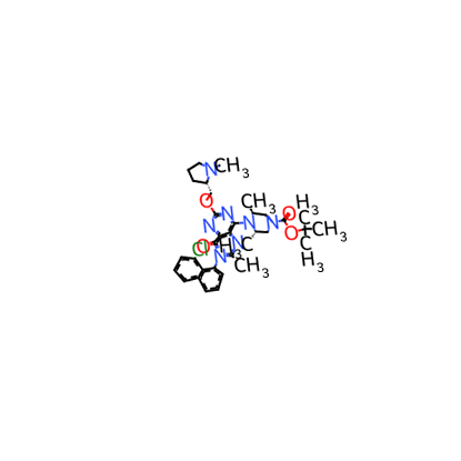 Cc1nc2c(N3[C@@H](C)CN(C(=O)OC(C)(C)C)C[C@@H]3C)nc(OC[C@@H]3CCCN3C)nc2c(=O)n1-c1cccc2cccc(Cl)c12